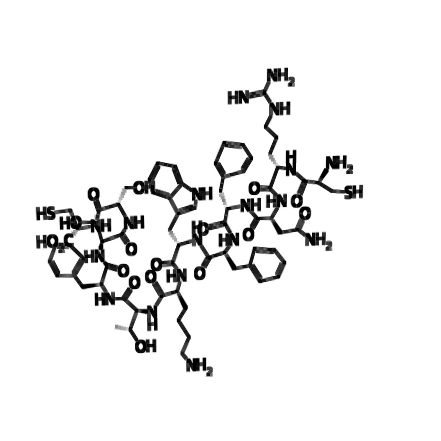 C[C@@H](O)[C@H](NC(=O)[C@H](Cc1ccccc1)NC(=O)[C@@H](NC(=O)[C@H](CCCCN)NC(=O)[C@H](Cc1c[nH]c2ccccc12)NC(=O)[C@H](Cc1ccccc1)NC(=O)[C@H](Cc1ccccc1)NC(=O)[C@H](CC(N)=O)NC(=O)[C@H](CCCNC(=N)N)NC(=O)[C@@H](N)CS)[C@@H](C)O)C(=O)N[C@@H](CO)C(=O)N[C@@H](CS)C(=O)O